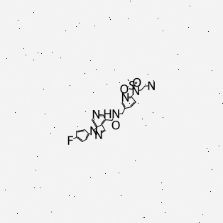 CN(C)CCN(c1ccc(CNC(=O)c2cncc3c2cnn3-c2ccc(F)cc2)cn1)S(C)(=O)=O